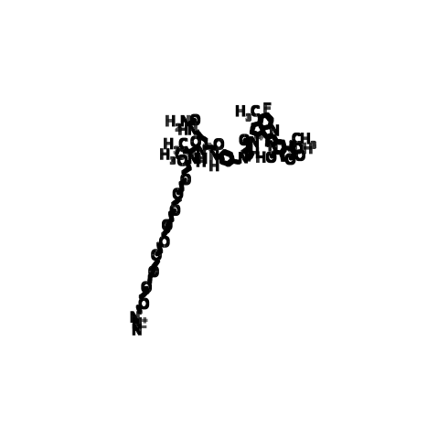 CC[C@@]1(O)C(=O)OCC2=C1C=C1c3nc4cc(F)c(C)c5c4c(c3CN1C2O)[C@@H](NC(=O)c1ccn(Cc2ccc(NC(=O)[C@H](CCCNC(N)=O)NC(=O)[C@@H](NC(=O)CCOCCOCCOCCOCCOCCOCCOCCOCCOCCN=[N+]=[N-])C(C)C)cc2)c1)CC5